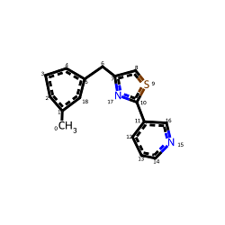 Cc1cccc(Cc2csc(-c3cccnc3)n2)c1